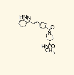 CNC(=O)C1CCN(C(=O)c2ccc(C=Cc3n[nH]c4ccccc34)cc2)CC1